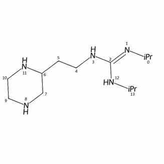 CC(C)N=C(NCCC1CNCCN1)NC(C)C